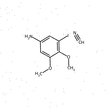 C#N.COc1cc(N)cc(I)c1OC